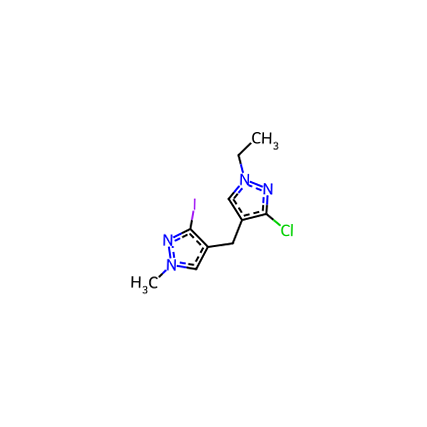 CCn1cc(Cc2cn(C)nc2I)c(Cl)n1